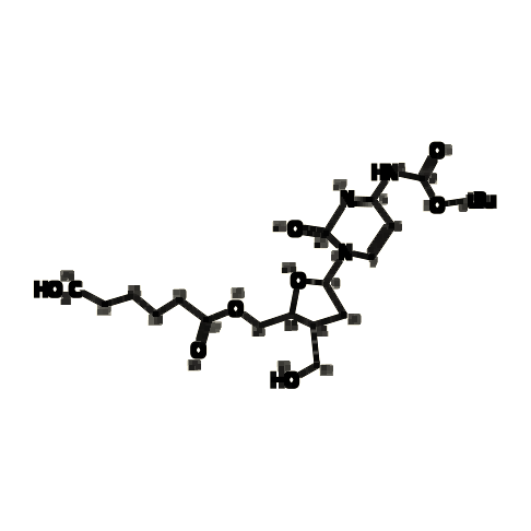 CC(C)(C)OC(=O)Nc1ccn(C2CC(CO)C(COC(=O)CCCCC(=O)O)O2)c(=O)n1